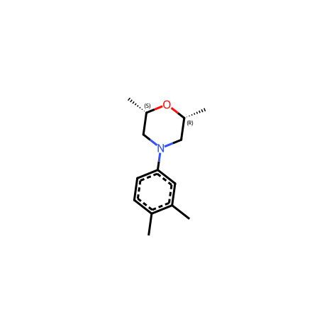 Cc1ccc(N2C[C@@H](C)O[C@@H](C)C2)cc1C